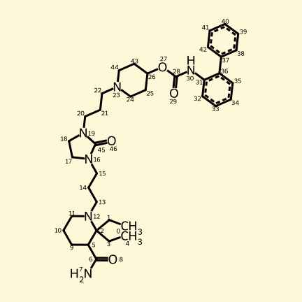 CCC1(CC)C(C(N)=O)CCCN1CCCN1CCN(CCCN2CCC(OC(=O)Nc3ccccc3-c3ccccc3)CC2)C1=O